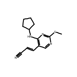 CSc1ncc(C=CC#N)c(NC2CCCC2)n1